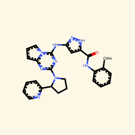 COc1ccccc1NC(=O)c1cc(Nc2nc(N3CCCC3c3ccccn3)nc3cccn23)n[nH]1